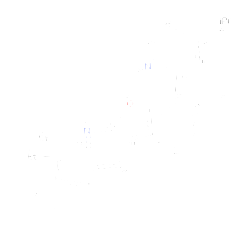 CCC1(CC)c2ccccc2-c2cc3c(nc21)oc1c(-c2cc(C(C)C)ccn2)c(C)ccc13